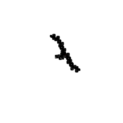 C=CC(=O)OCOC(=O)C1CCC(C(=O)OC2CCC(C(=O)Oc3ccc(OC(=O)C4CCC(OC(=O)C5CCC(C(=O)OCOC(=O)C=C)CC5)CC4)c4c3SC(=C(C#N)C#N)S4)CC2)CC1